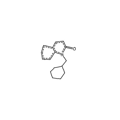 O=c1ccc2ccccc2n1CC1CCCCC1